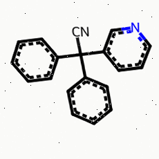 N#CC(c1ccccc1)(c1ccccc1)c1cccnc1